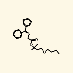 CCCCOCCC(C)(C)OC(=O)CN=C(c1ccccc1)c1ccccc1